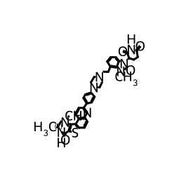 C[C@@H]1CN(C)c2c(sc3ccc4nc(-c5ccc(N6CCN(CCc7cccc8c7n(C)c(=O)n8C7CCC(=O)NC7=O)CC6)cc5)ccc4c23)C(=O)N1